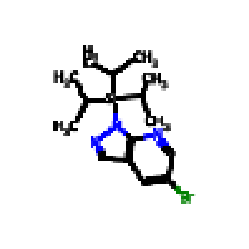 CC(C)[Si](C(C)C)(C(C)C)n1ncc2cc(Br)cnc21